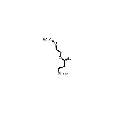 CCCCCCCCCC(CC)OCCOC(=O)O